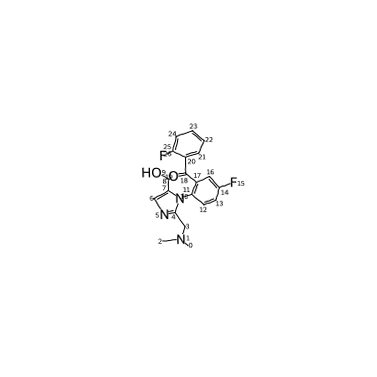 CN(C)Cc1ncc(CO)n1-c1ccc(F)cc1C(=O)c1ccccc1F